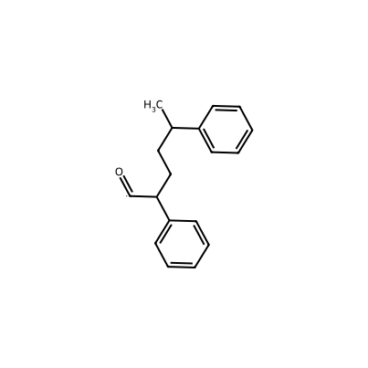 CC(CCC([C]=O)c1ccccc1)c1ccccc1